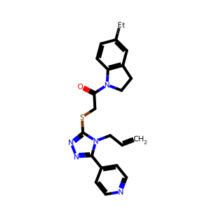 C=CCn1c(SCC(=O)N2CCc3cc(CC)ccc32)nnc1-c1ccncc1